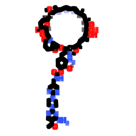 CO[C@H]1C[C@@H]2CC[C@@H](C)[C@@](O)(O2)C(=O)C(=O)N2CCCC[C@H]2C(=O)O[C@H]([C@H](N)C[C@@H]2CC[C@@H](OC(=O)NCc3cnc(N4CCN(c5ncc(C(C)=O)c(N)n5)CC4)nc3)[C@H](OC)C2)C[C@@H](OC)[C@H](C)/C=C(\C)[C@@H](O)[C@@H](O)C(=O)[C@H](C)C[C@H](C)/C=C/C=C/C=C/1C